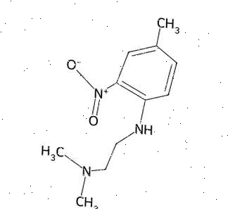 Cc1ccc(NCCN(C)C)c([N+](=O)[O-])c1